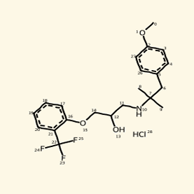 COc1ccc(CC(C)(C)NCC(O)COc2ccccc2C(F)(F)F)cc1.Cl